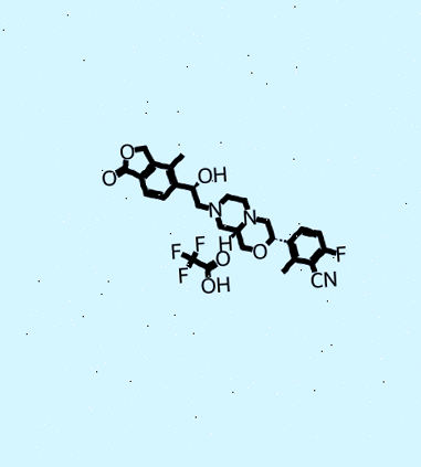 Cc1c([C@H]2CN3CCN(C[C@H](O)c4ccc5c(c4C)COC5=O)C[C@H]3CO2)ccc(F)c1C#N.O=C(O)C(F)(F)F